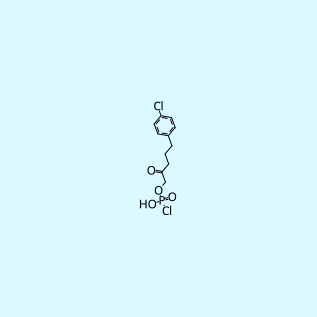 O=C(CCCc1ccc(Cl)cc1)COP(=O)(O)Cl